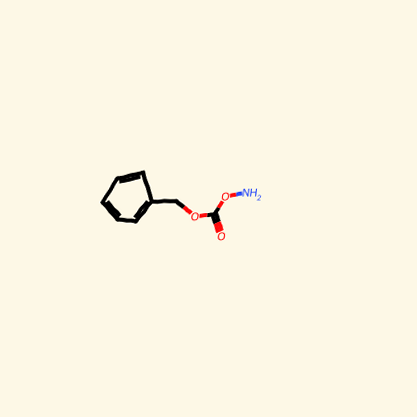 NOC(=O)OCc1ccccc1